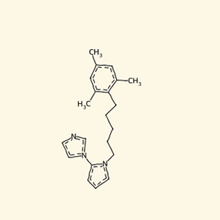 Cc1cc(C)c(CCCCCn2cccc2-n2ccnc2)c(C)c1